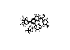 CC(C)(C)OC(=O)N1CCOC[C@H]1c1cc(B2OC(C)(C)C(C)(C)O2)cc2c1CN(C(=O)N1CCC(F)CC1)CC2